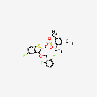 Cc1cc(C)c(S(=O)(=O)OCc2sc3ccc(F)cc3c2OCc2c(F)cccc2F)c(C)c1